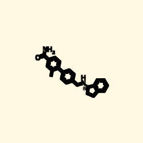 Cc1cc(C(N)=O)ccc1-c1ccc(CN[C@H]2CCc3ccccc32)cc1